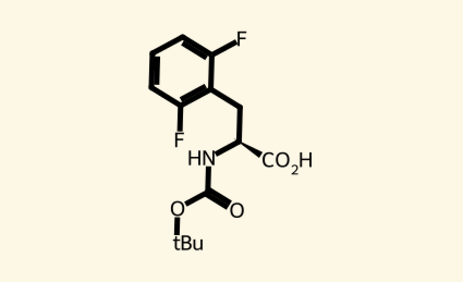 CC(C)(C)OC(=O)N[C@@H](Cc1c(F)cccc1F)C(=O)O